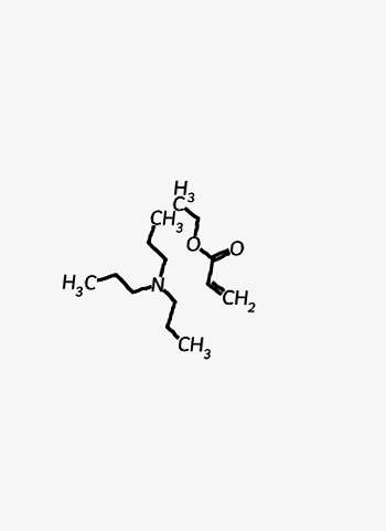 C=CC(=O)OCC.CCCN(CCC)CCC